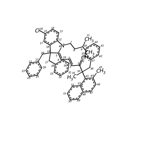 C=C(C=CC=C1N(CCC(C)C)c2ccc(Cl)cc2C1(Cc1ccccc1)Cc1ccccc1)C(C)(Cc1ccccc1)c1c(C)ccc2ccccc12